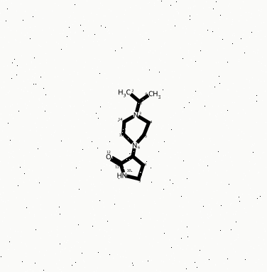 CC(C)N1CCN(C2CCNC2=O)CC1